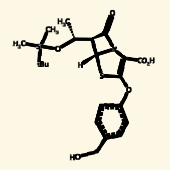 C[C@@H](O[Si](C)(C)C(C)(C)C)[C@H]1C(=O)N2C(C(=O)O)=C(Oc3ccc(CO)cc3)S[C@H]12